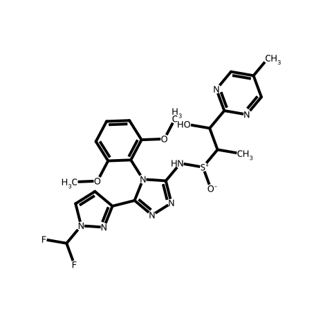 COc1cccc(OC)c1-n1c(N[S+]([O-])C(C)C(O)c2ncc(C)cn2)nnc1-c1ccn(C(F)F)n1